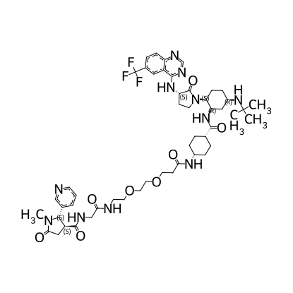 CN1C(=O)C[C@H](C(=O)NCC(=O)NCCOCCOCCC(=O)N[C@H]2CC[C@@H](C(=O)N[C@@H]3C[C@H](NC(C)(C)C)CC[C@@H]3N3CC[C@H](Nc4ncnc5ccc(C(F)(F)F)cc45)C3=O)CC2)[C@H]1c1cccnc1